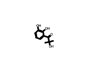 CC(C)(O)C(=O)c1cccc(O)c1O